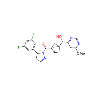 COc1cc(C(O)C23CC(C2)C(C(=O)N2N=CCC2c2cc(F)cc(F)c2)C3)ncn1